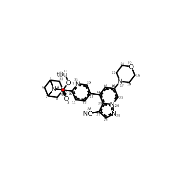 CC(C)(C)OC(=O)N1C2CC1CN(c1ccc(-c3cc(N4CCOCC4)cn4ncc(C#N)c34)cn1)C2